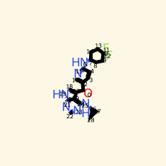 O=C(c1ccc(NC2CCC(F)(F)CC2)nc1)c1c[nH]c2ncnc(NC3CC3)c12